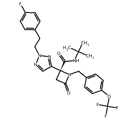 CC(C)(C)NC(=O)[C@]1(c2cnn(CCc3ccc(F)cc3)n2)CC(=O)N1Cc1ccc(OC(F)(F)F)cc1